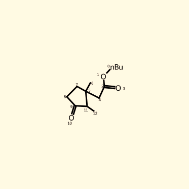 CCCCOC(=O)CC1(C)CCC(=O)C1C